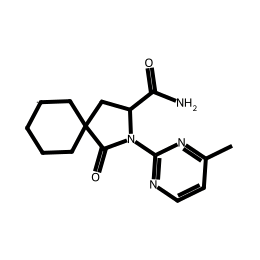 Cc1ccnc(N2C(=O)C3(C[CH]CCC3)CC2C(N)=O)n1